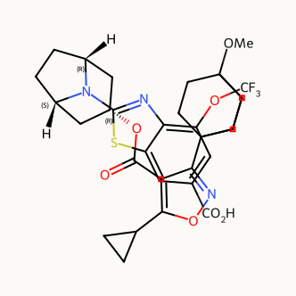 COC12CCC(c3noc(C4CC4)c3C(=O)O[C@H]3C[C@H]4CC[C@@H](C3)N4c3nc4c(OC(F)(F)F)cc(C(=O)O)cc4s3)(CC1)CC2